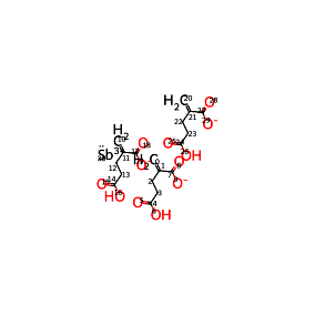 C=C(CCC(=O)O)C(=O)[O-].C=C(CCC(=O)O)C(=O)[O-].C=C(CCC(=O)O)C(=O)[O-].[Sb+3]